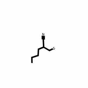 CCCCC(C#N)C[S]